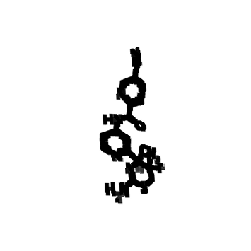 C[C@]1(c2cc(NC(=O)c3ccc(C#N)cn3)ccn2)N=C(N)SCC1(F)F